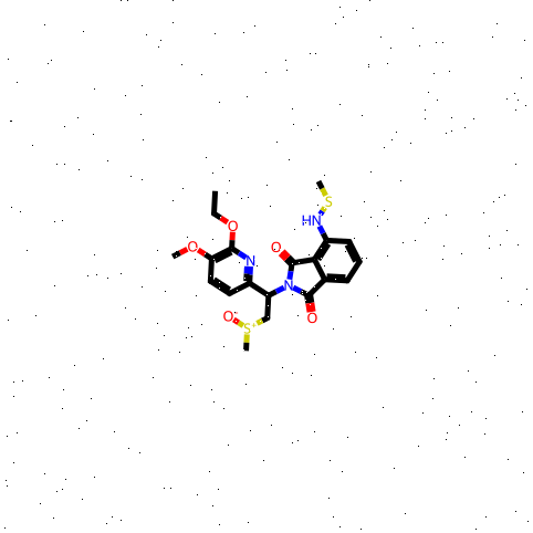 CCOc1nc(C(C[S+](C)[O-])N2C(=O)c3cccc(NSC)c3C2=O)ccc1OC